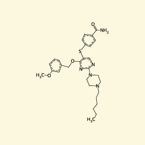 CCCCCCN1CCN(c2ncc(Sc3ccc(C(N)=O)cc3)c(OCc3cccc(OC)c3)n2)CC1